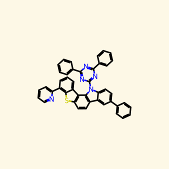 c1ccc(-c2ccc3c(c2)c2ccc4sc5c(-c6ccccn6)cccc5c4c2n3-c2nc(-c3ccccc3)nc(-c3ccccc3)n2)cc1